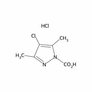 Cc1nn(C(=O)O)c(C)c1Cl.Cl